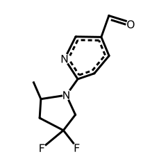 CC1CC(F)(F)CN1c1ccc(C=O)cn1